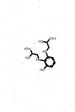 CCCCCCCCC(O)CNc1cccc(O)c1NCC(O)CCCCCCCC